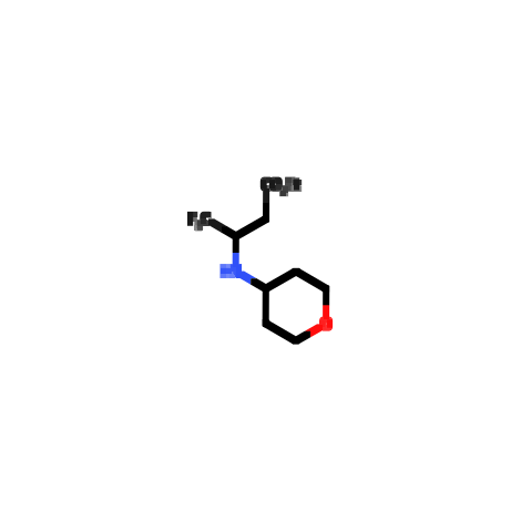 CCOC(=O)CC(NC1CCOCC1)C(F)(F)F